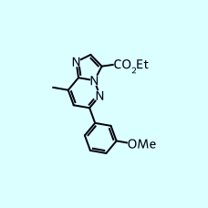 CCOC(=O)c1cnc2c(C)cc(-c3cccc(OC)c3)nn12